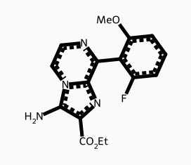 CCOC(=O)c1nc2c(-c3c(F)cccc3OC)nccn2c1N